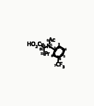 CC(=O)N(c1cccc(C(F)(F)F)c1)[C@H](C(=O)O)C(C)C